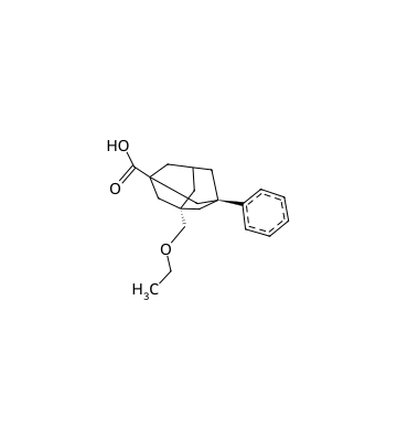 CCOC[C@@]12CC3CC(C(=O)O)(C1)C[C@](c1ccccc1)(C3)C2